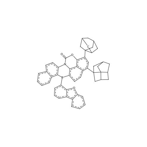 O=C1Oc2c(C34CC5CC(CC3C5)C4)cc(C34CC5CC6CC(C3)C64C5)c3ccc4c(c23)N1c1ccc2ccccc2c1B4c1cccc2c1oc1ccccc12